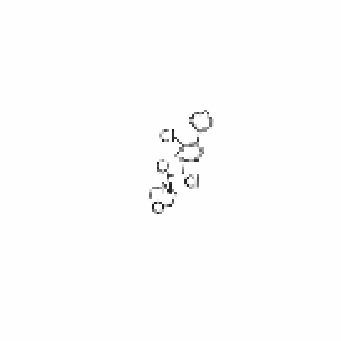 O=C(C(Cl)c1ccc(-c2ccccc2)c(Cl)c1)N1CCOCC1